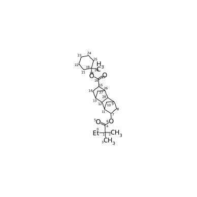 CCC(C)(C)C(=O)OC1CC2CC1C1C3CC(C(=O)OC4(C)CCCCC4)C(C3)C21